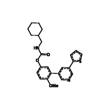 COc1ccc(OC(=O)NCC2CCCCC2)cc1-c1cncc(-c2cccs2)c1